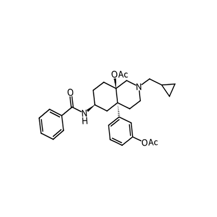 CC(=O)Oc1cccc([C@@]23CCN(CC4CC4)C[C@@]2(OC(C)=O)CC[C@H](NC(=O)c2ccccc2)C3)c1